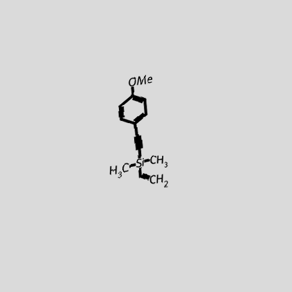 C=C[Si](C)(C)C#Cc1ccc(OC)cc1